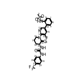 CS(=O)(=O)Nc1ccccc1-c1cnc(N2CCC[C@@H](NC(=O)Nc3ccc(C(F)(F)F)cc3)C2=O)c(F)c1